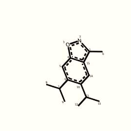 Cc1noc2cc(C(C)C)c(C(C)C)cc12